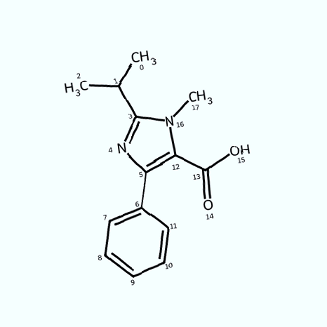 CC(C)c1nc(-c2ccccc2)c(C(=O)O)n1C